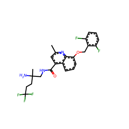 Cc1cc(C(=O)NCC(C)(N)CCC(F)(F)F)c2cccc(OCc3c(F)cccc3F)c2n1